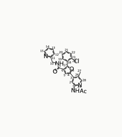 CC(=O)Nc1cc(-c2cc(C(=O)NCc3ccccn3)c(-c3ccccc3Cl)o2)c(C)cn1